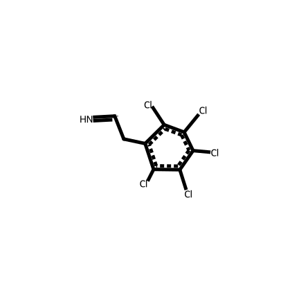 N=[C]Cc1c(Cl)c(Cl)c(Cl)c(Cl)c1Cl